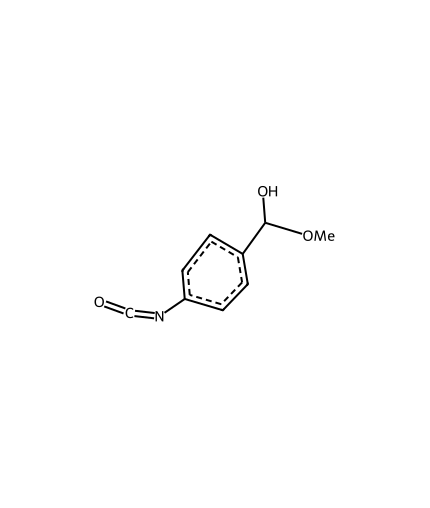 COC(O)c1ccc(N=C=O)cc1